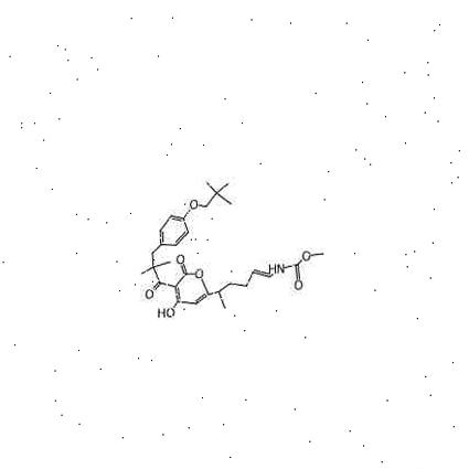 COC(=O)N/C=C/CCC(C)c1cc(O)c(C(=O)C(C)(C)Cc2ccc(OCC(C)(C)C)cc2)c(=O)o1